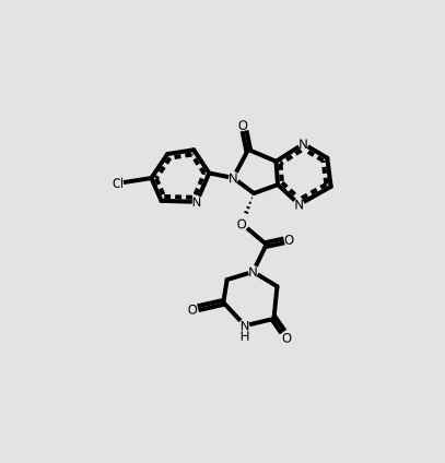 O=C1CN(C(=O)O[C@H]2c3nccnc3C(=O)N2c2ccc(Cl)cn2)CC(=O)N1